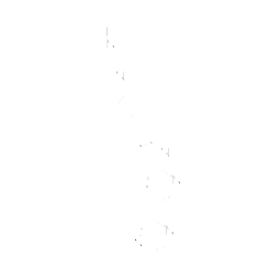 O=C(Cc1ccc(N2CCNCC2)s1)Nc1ccc(-c2cnccn2)cn1